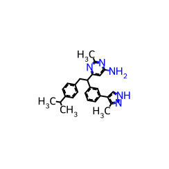 Cc1nc(N)cc(C(Cc2ccc(C(C)C)cc2)c2cccc(-c3c[nH]nc3C)c2)n1